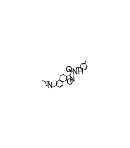 Cc1cccc(CNC(=O)c2noc3c2CCc2cc(CN4CC(C)C4)ccc2-3)c1